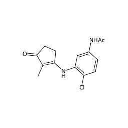 CC(=O)Nc1ccc(Cl)c(NC2=C(C)C(=O)CC2)c1